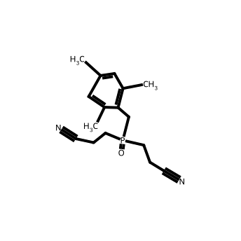 Cc1cc(C)c(CP(=O)(CCC#N)CCC#N)c(C)c1